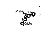 CNCCNC(=O)C1(c2cnc(-c3cccnc3OC)c(F)c2)CCN(c2ccc(C(F)(F)F)cc2Cl)CC1